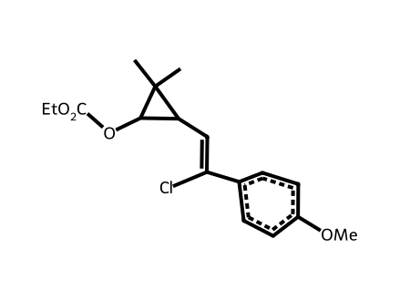 CCOC(=O)OC1C(C=C(Cl)c2ccc(OC)cc2)C1(C)C